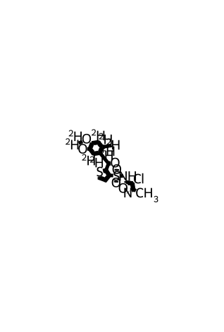 [2H]c1c2c(c([2H])c(C([2H])([2H])C(=O)c3sccc3S(=O)(=O)Nc3onc(C)c3Cl)c1C([2H])([2H])[2H])OC([2H])([2H])O2